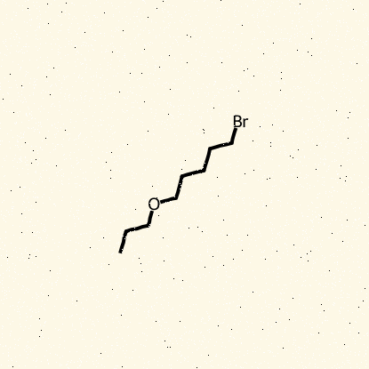 CCCOCCCCCBr